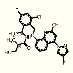 Cc1cc(-n2cc(F)cn2)c2cccc(OCc3c(Cl)cc(F)cc3[C@H](C)NC(=O)[C@H](C)CO)c2n1